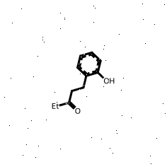 CCC(=O)CCc1ccccc1O